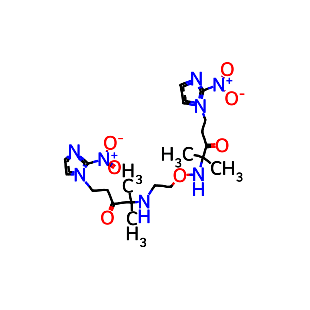 CC(C)(NCCONC(C)(C)C(=O)CCn1ccnc1[N+](=O)[O-])C(=O)CCn1ccnc1[N+](=O)[O-]